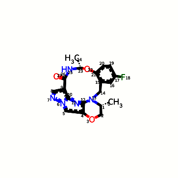 C[C@@H]1COc2cn3ncc4c3nc2N1Cc1cc(F)ccc1O[C@@H](C)NC4=O